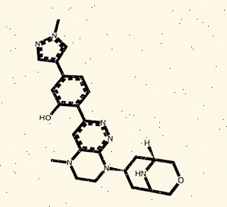 CN1CCN([C@@H]2CC3COC[C@@H](C2)N3)c2nnc(-c3ccc(-c4cnn(C)c4)cc3O)cc21